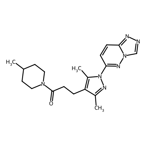 Cc1nn(-c2ccc3nncn3n2)c(C)c1CCC(=O)N1CCC(C)CC1